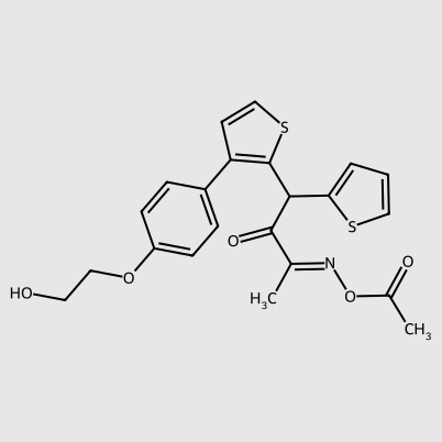 CC(=O)ON=C(C)C(=O)C(c1cccs1)c1sccc1-c1ccc(OCCO)cc1